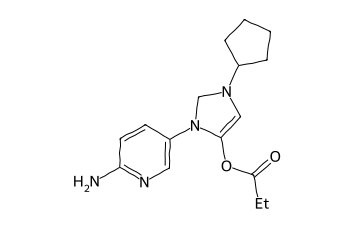 CCC(=O)OC1=CN(C2CCCC2)CN1c1ccc(N)nc1